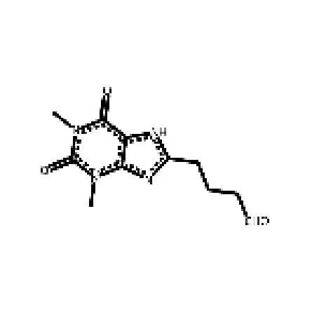 Cn1c(=O)c2[nH]c(CCC[C]=O)nc2n(C)c1=O